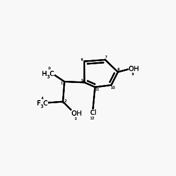 CC([C](O)C(F)(F)F)c1ccc(O)cc1Cl